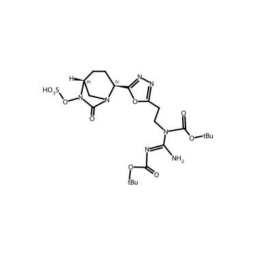 CC(C)(C)OC(=O)N=C(N)N(CCc1nnc([C@@H]2CC[C@@H]3CN2C(=O)N3OS(=O)(=O)O)o1)C(=O)OC(C)(C)C